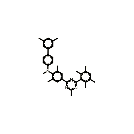 Cc1cc(C)cc(-c2ccc(N(C)c3c(C)cc(-c4nc(C)nc(-c5c(C)c(C)cc(C)c5C)n4)cc3C)cc2)c1